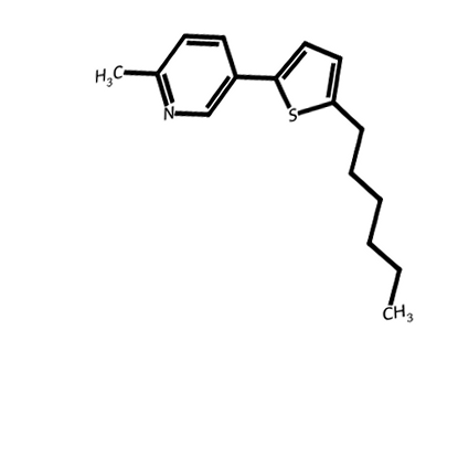 CCCCCCc1ccc(-c2ccc(C)nc2)s1